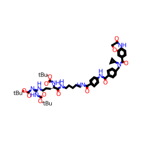 CC(C)(C)OC(=O)/N=C(/NCCC[C@H](NC(=O)OC(C)(C)C)C(=O)NCCCCCNC(=O)c1ccc(NC(=O)c2ccc(CN(C(=O)c3ccc4c(c3)OCC(=O)N4)C3CC3)cc2)cc1)NC(=O)OC(C)(C)C